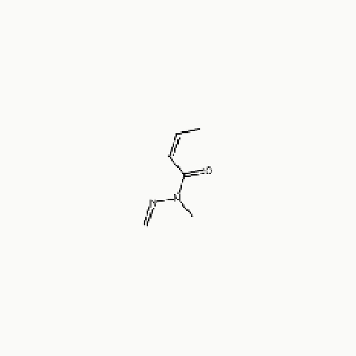 C=NN(C)C(=O)/C=C\C